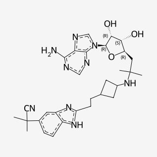 CC(C)(C[C@H]1O[C@@H](n2cnc3c(N)ncnc32)[C@H](O)[C@@H]1O)NC1CC(CCc2nc3cc(C(C)(C)C#N)ccc3[nH]2)C1